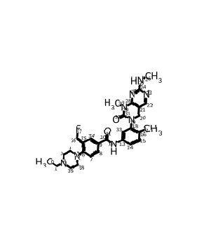 CCN1CCN(c2ccc(C(=O)Nc3ccc(C)c(N4Cc5cnc(NC)nc5N(C)C4=O)c3)cc2CF)CC1